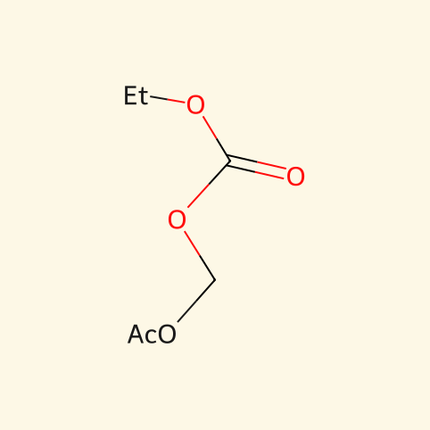 CCOC(=O)OCOC(C)=O